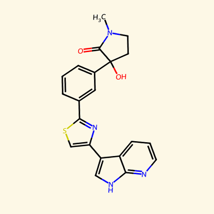 CN1CCC(O)(c2cccc(-c3nc(-c4c[nH]c5ncccc45)cs3)c2)C1=O